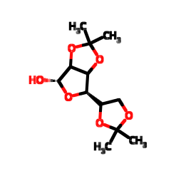 CC1(C)OCC([C@H]2O[C@H](O)C3OC(C)(C)OC32)O1